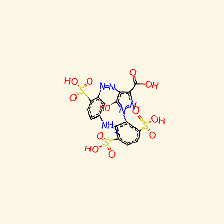 Nc1ccc(S(=O)(=O)O)c(/N=N\c2c(C(=O)O)nn(-c3cc(S(=O)(=O)O)ccc3S(=O)(=O)O)c2O)c1